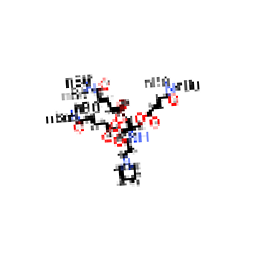 CCCCN(CCCC)C(=O)CCCC(=O)OCC(COC(=O)CCCC(=O)N(CCCC)CCCC)(COC(=O)CCCC(=O)N(CCCC)CCCC)NC(=O)CCN1CCCCC1